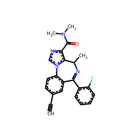 C#Cc1ccc2c(c1)C(c1ccccc1F)=NC(C)c1c(C(=O)N(C)C)ncn1-2